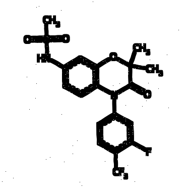 CC1(C)Oc2cc(NS(C)(=O)=O)ccc2N(c2ccc(C(F)(F)F)c(F)c2)C1=O